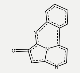 O=c1cc2nccc3c4ccccc4nc1N23